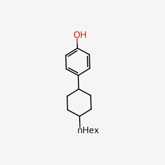 CCCCCCC1CCC(c2ccc(O)cc2)CC1